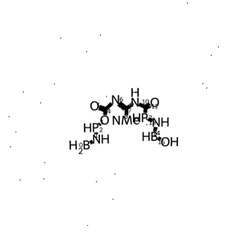 BNPOC(=O)/N=C(\NC)NC(=O)PNBO